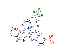 O=C(O)c1ccc2nc(-c3ccc4c(c3)OCCO4)c(N3CCCc4cc(C(F)(F)F)ccc43)nc2c1